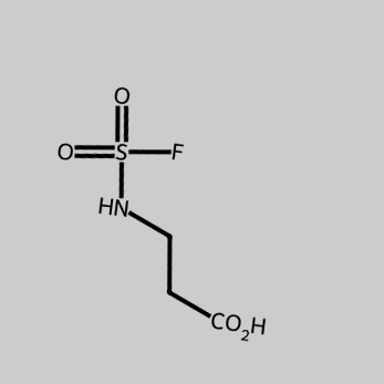 O=C(O)CCNS(=O)(=O)F